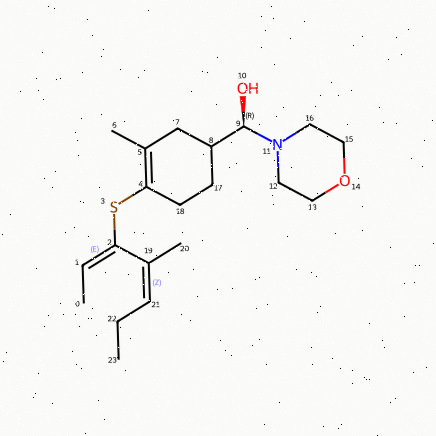 C/C=C(SC1=C(C)CC([C@@H](O)N2CCOCC2)CC1)\C(C)=C/CC